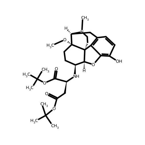 CO[C@@]12CC[C@H](N[C@@H](CC(=O)OC(C)(C)C)C(=O)OC(C)(C)C)[C@@H]3Oc4c(O)ccc5c4[C@@]31CCN(C)[C@@H]2C5